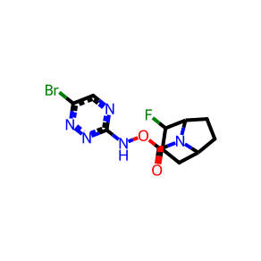 O=C(ONc1ncc(Br)nn1)N1C2CCC(F)C1CC2